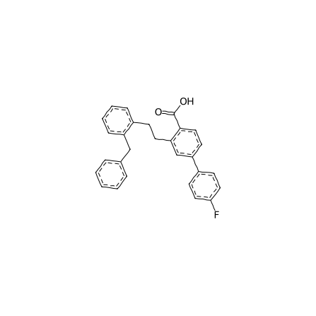 O=C(O)c1ccc(-c2ccc(F)cc2)cc1CCc1ccccc1Cc1ccccc1